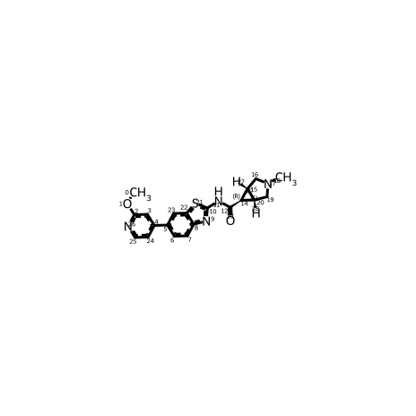 COc1cc(-c2ccc3nc(NC(=O)[C@H]4[C@@H]5CN(C)C[C@@H]54)sc3c2)ccn1